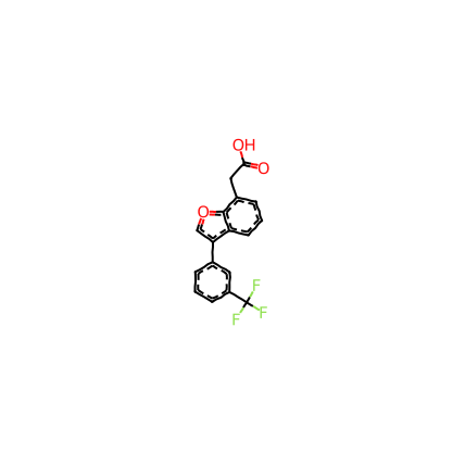 O=C(O)Cc1cccc2c(-c3cccc(C(F)(F)F)c3)coc12